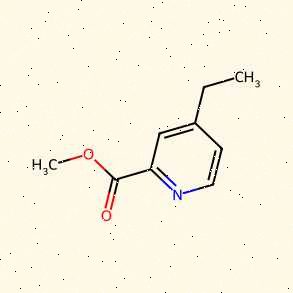 CCc1ccnc(C(=O)OC)c1